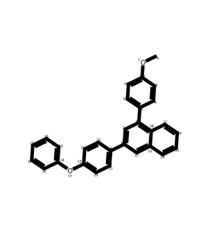 COc1ccc(-c2[c]c(-c3ccc(Oc4ccccc4)cc3)cc3ccccc23)cc1